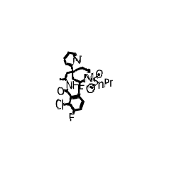 CCCS(=O)(=O)N1CCC(CC(C)NC(=O)c2c(F)ccc(F)c2Cl)(c2ccccn2)CC1